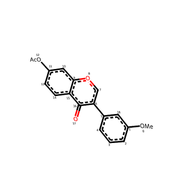 COc1cccc(-c2coc3cc(OC(C)=O)ccc3c2=O)c1